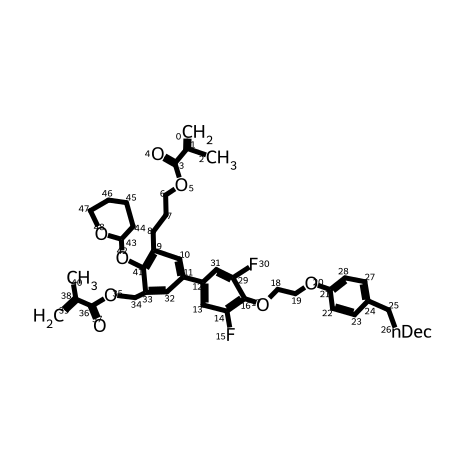 C=C(C)C(=O)OCCCc1cc(-c2cc(F)c(OCCOc3ccc(CCCCCCCCCCC)cc3)c(F)c2)cc(COC(=O)C(=C)C)c1OC1CCCCO1